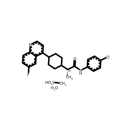 CS(=O)(=O)O.C[C@@H](C(=O)Nc1ccc(Cl)cc1)C1CCC(c2ccnc3ccc(F)cc23)CC1.O